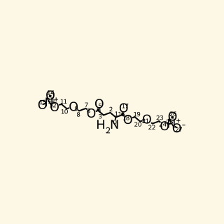 NC(CCC(=O)OCCOCCO[N+](=O)[O-])C(=O)OCCOCCO[N+](=O)[O-]